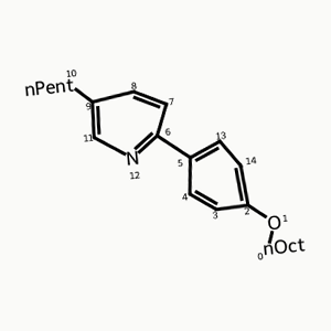 CCCCCCCCOc1ccc(-c2ccc(CCCCC)cn2)cc1